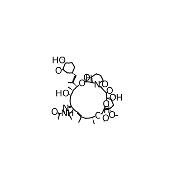 CC[C@@H]1/C=C(\C)C[C@H](C)C[C@H](OC)[C@H]2O[C@@](O)(C(=O)C(=O)N3CCCC[C@H]3C(=O)O[C@H](/C(C)=C/[C@@H]3CC[C@@H](O)[C@H](OC)C3)[C@H](C)[C@@H](O)C/C1=N/NC(C)=O)[C@H](C)C[C@@H]2OC